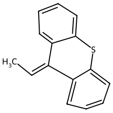 CC=C1c2ccccc2Sc2ccccc21